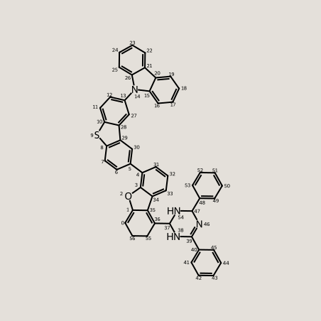 C1=c2oc3c(-c4ccc5sc6ccc(-n7c8ccccc8c8ccccc87)cc6c5c4)cccc3c2=C(C2NC(c3ccccc3)=NC(c3ccccc3)N2)CC1